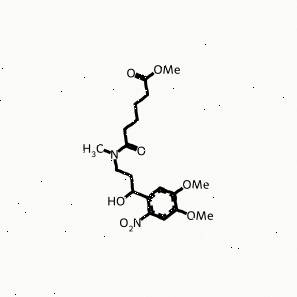 COC(=O)CCCCC(=O)N(C)CCC(O)c1cc(OC)c(OC)cc1[N+](=O)[O-]